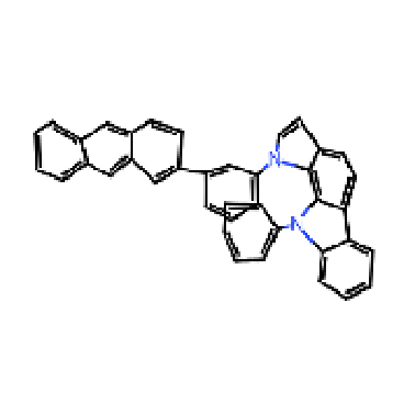 c1ccc(-n2c3ccccc3c3ccc4ccn(-c5cccc(-c6ccc7cc8ccccc8cc7c6)c5)c4c32)cc1